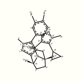 Cn1nc2c(c1-c1ccc(F)c(F)c1)C[C@@H]1CC[C@H]2N1C(=O)c1cnn(C)c1C1CC1